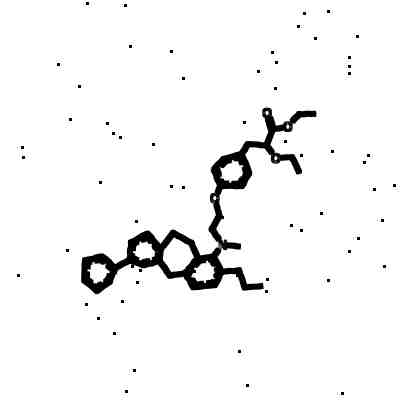 CCCc1ccc2c(c1N(C)CCOc1ccc(CC(OCC)C(=O)OCC)cc1)CCc1ccc(-c3ccccc3)cc1C2